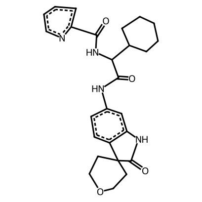 O=C(NC(C(=O)Nc1ccc2c(c1)NC(=O)C21CCOCC1)C1CCCCC1)c1ccccn1